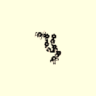 O=C1CCC(N2Cc3cccc(OCc4ccc(CN5CCC(c6ccccc6)CC5)cc4C4CC4CN4CCN(Cc5ccc(COc6cccc7c6CN(C6CCC(=O)NC6=O)C7=O)cc5)CC4)c3C2)C(=O)N1